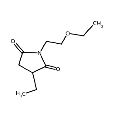 CCOCCN1C(=O)CC(CC)C1=O